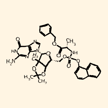 C[C@H](NP(=O)(OC[C@H]1O[C@@H](n2cnc3c(=O)[nH]c(N)nc32)C2(C)OC(C)(C)OC12)Oc1cccc2ccccc12)C(=O)OCc1ccccc1